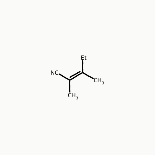 CC/C(C)=C(/C)C#N